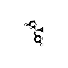 O=c1ccnc(N(Cc2ccc(Cl)nc2)C2CC2)o1